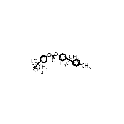 COC(C)(C)c1ccc(OC(=O)Oc2ccc(C(C)(C)c3ccc(C)cc3)cc2)cc1